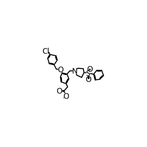 COC(=O)Cc1ccc(OCc2ccc(Cl)cc2)c(CN2CCC(S(=O)(=O)c3ccccc3)CC2)c1